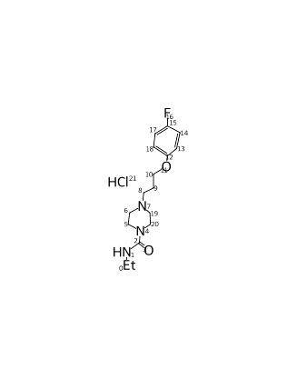 CCNC(=O)N1CCN(CCCOc2ccc(F)cc2)CC1.Cl